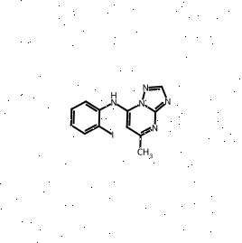 Cc1cc(Nc2ccccc2I)n2ncnc2n1